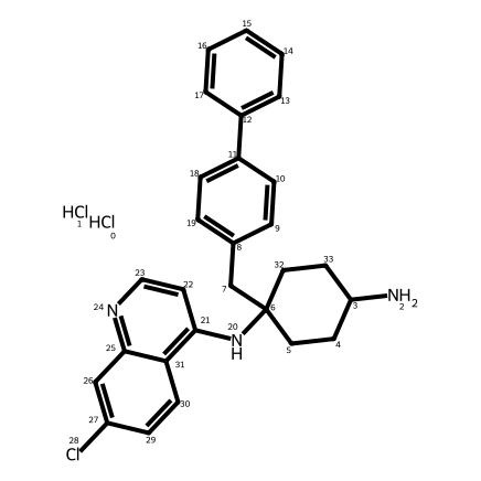 Cl.Cl.NC1CCC(Cc2ccc(-c3ccccc3)cc2)(Nc2ccnc3cc(Cl)ccc23)CC1